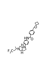 CC(CC(F)(F)F)N1C[C@H]2CCN(c3ccc(NC(=O)c4ccc(COC5CCC5)cc4)cc3)[C@H]2C1